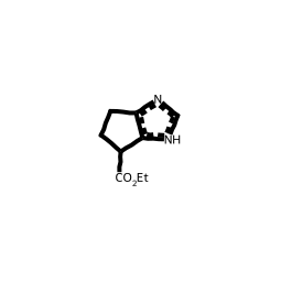 CCOC(=O)C1CCc2nc[nH]c21